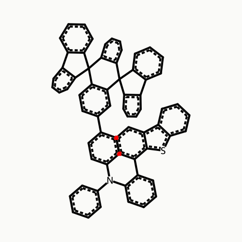 c1ccc(N(c2ccc(-c3ccc4c(c3)C3(c5ccccc5-c5ccccc53)c3ccccc3C43c4ccccc4-c4ccccc43)cc2)c2ccccc2-c2cccc3c2sc2ccccc23)cc1